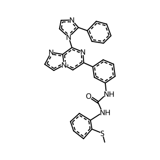 CSc1ccccc1NC(=O)Nc1cccc(-c2cn3ccnc3c(-n3ccnc3-c3ccccc3)n2)c1